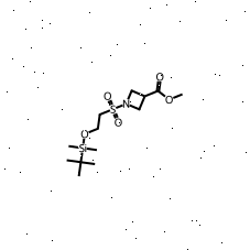 COC(=O)C1CN(S(=O)(=O)CCO[Si](C)(C)C(C)(C)C)C1